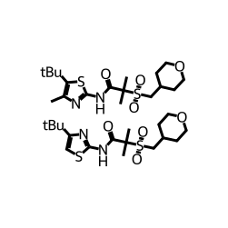 CC(C)(C)c1csc(NC(=O)C(C)(C)S(=O)(=O)CC2CCOCC2)n1.Cc1nc(NC(=O)C(C)(C)S(=O)(=O)CC2CCOCC2)sc1C(C)(C)C